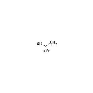 C[CH2][Al].[Zr]